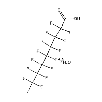 N.O.O=C(O)C(F)(F)C(F)(F)C(F)(F)C(F)(F)C(F)(F)C(F)(F)C(F)(F)F